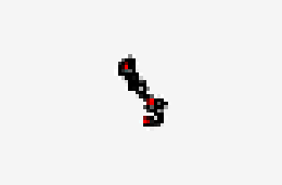 CC1CCc2ccccc2N1c1ccc(/C=C/c2ccc3c(c2)C(C)(C)c2cc(N4C5=C(C=CC4(C)C)CCC=C5)ccc2-3)c2ccccc12